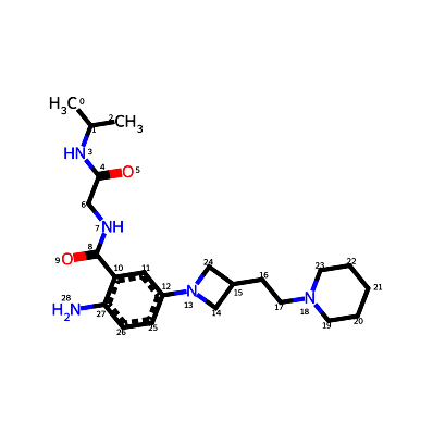 CC(C)NC(=O)CNC(=O)c1cc(N2CC(CCN3CCCCC3)C2)ccc1N